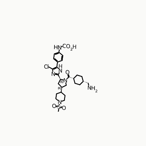 CS(=O)(=O)N1CCC([C@H]2C[C@@H](c3nc(Cl)c(-c4ccc(NC(=O)O)cc4)[nH]3)N(C(=O)[C@H]3CC[C@@H](CN)CC3)C2)CC1